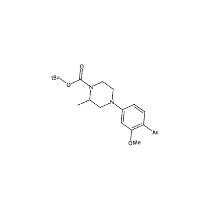 COc1cc(N2CCN(C(=O)OC(C)(C)C)C(C)C2)ccc1C(C)=O